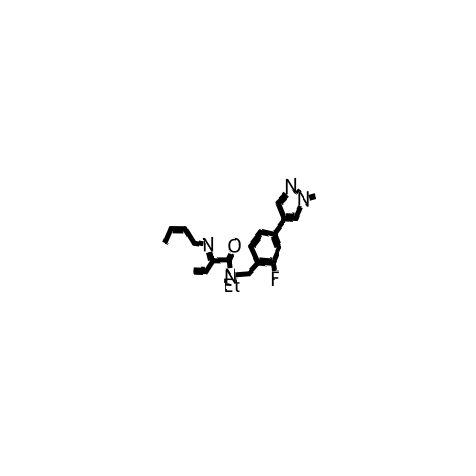 C=C/C(=N\C/C=C\C)C(=O)N(CC)Cc1ccc(-c2cnn(C)c2)cc1F